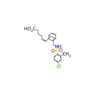 Cc1cc(Cl)ccc1S(=O)(=O)NCC1C2C=CC(CC2)C1/C=C\CCCC(=O)O